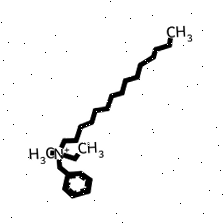 CCCCCCCCCCCCCCC[N+](C)(CC)Cc1ccccc1